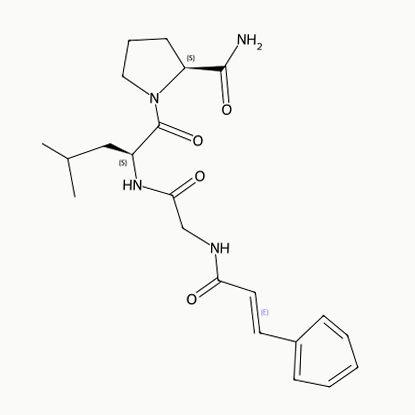 CC(C)C[C@H](NC(=O)CNC(=O)/C=C/c1ccccc1)C(=O)N1CCC[C@H]1C(N)=O